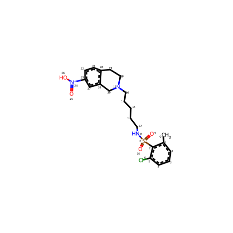 Cc1cccc(Cl)c1S(=O)(=O)NCCCCCN1CCc2ccc([N+](=O)O)cc2C1